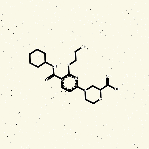 CCCSc1nc(N2CCOC(C(=O)O)C2)ccc1C(=O)NC1CCCCC1